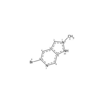 C[n+]1cc2cc(Br)ncc2[nH]1